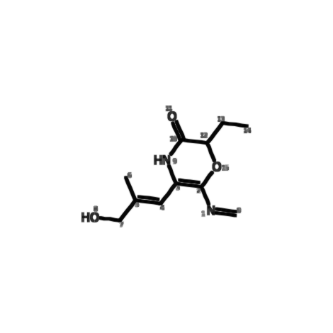 C=NC1=C(/C=C(\C)CO)NC(=O)C(CC)O1